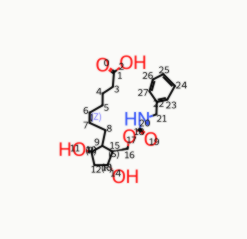 O=C(O)CCC/C=C\CC1[C@H](O)C[C@@H](O)[C@@H]1COC(=O)NCc1ccccc1